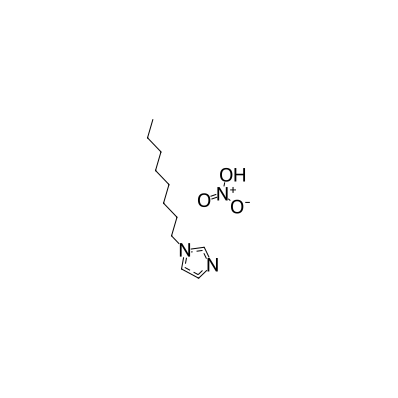 CCCCCCCCn1ccnc1.O=[N+]([O-])O